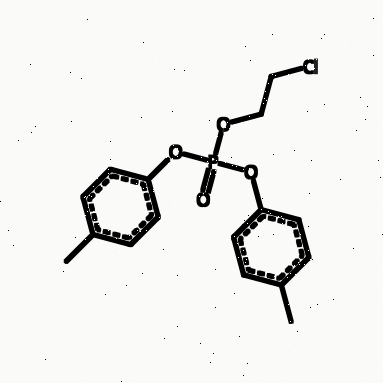 Cc1ccc(OP(=O)(OCCCl)Oc2ccc(C)cc2)cc1